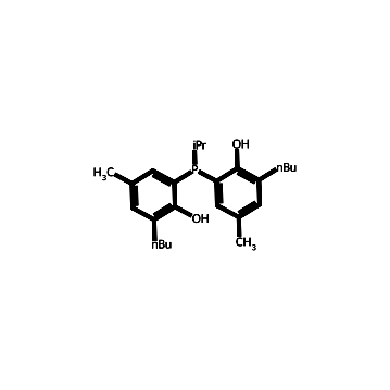 CCCCc1cc(C)cc(P(c2cc(C)cc(CCCC)c2O)C(C)C)c1O